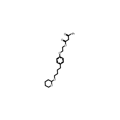 CCCC(=O)CC(=O)OCCOc1ccc(CCCCOC2CCCCO2)cc1